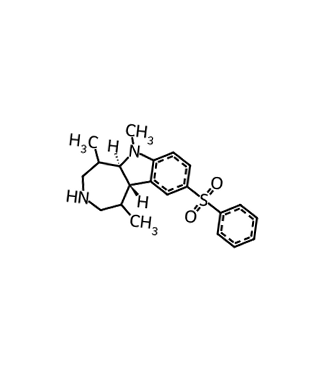 CC1CNCC(C)[C@@H]2[C@@H]1c1cc(S(=O)(=O)c3ccccc3)ccc1N2C